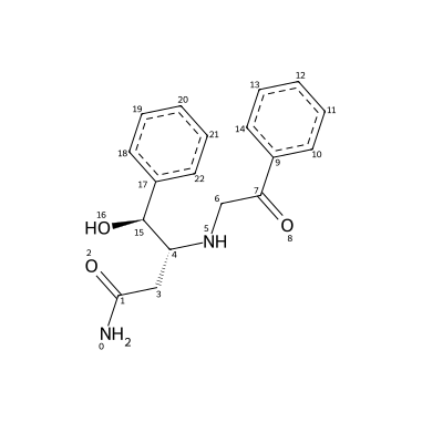 NC(=O)C[C@@H](NCC(=O)c1ccccc1)[C@@H](O)c1ccccc1